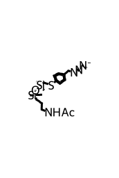 CC(=O)NCCC[Si](C)(C)O[Si](C)(C)CSc1ccc(CN=[N+]=[N-])cc1